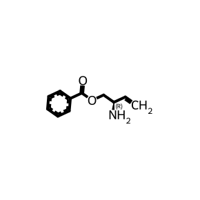 C=C[C@@H](N)COC(=O)c1ccccc1